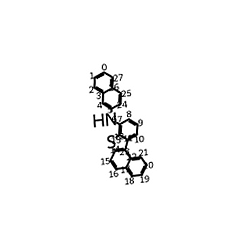 c1ccc2cc(Nc3cccc4c3sc3ccc5ccccc5c34)ccc2c1